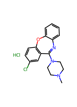 CN1CCN(C2=Nc3ccccc3Oc3ccc(Cl)cc32)CC1.Cl